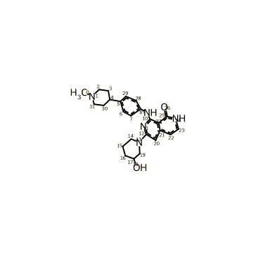 CN1CCC(c2ccc(Nc3nc(N4CCCC(O)C4)cc4cc[nH]c(=O)c34)cc2)CC1